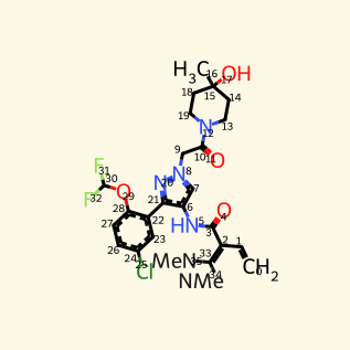 C=CC(C(=O)Nc1cn(CC(=O)N2CCC(C)(O)CC2)nc1-c1cc(Cl)ccc1OC(F)F)=C(NC)NC